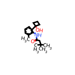 Cc1cccc(C2(O)CCC2)c1NC(=O)CC(C)(C)C